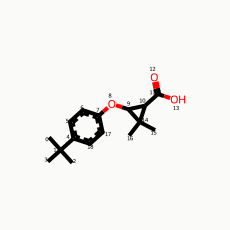 CC(C)(C)c1ccc(OC2C(C(=O)O)C2(C)C)cc1